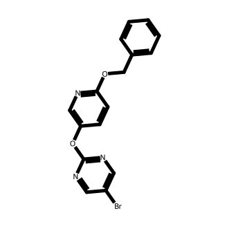 Brc1cnc(Oc2ccc(OCc3ccccc3)nc2)nc1